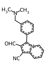 CN(C)Cc1cccc(-c2c(C=O)c(C#N)c3ccccn23)c1